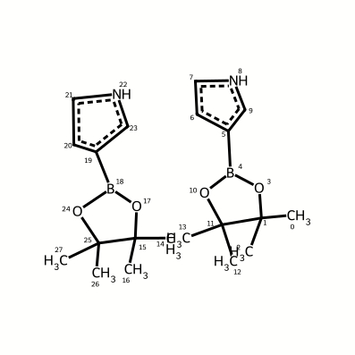 CC1(C)OB(c2cc[nH]c2)OC1(C)C.CC1(C)OB(c2cc[nH]c2)OC1(C)C